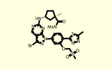 CNC(=O)[C@]1(C)CC[C@@H](Nc2ncc3c(Br)nn(-c4ccc(-c5nnc(C)s5)c(OCS(C)(=O)=O)c4)c3n2)C1